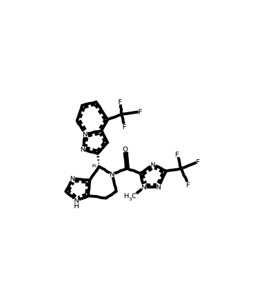 Cn1nc(C(F)(F)F)nc1C(=O)N1CCc2[nH]cnc2[C@@H]1c1cc2c(C(F)(F)F)cccn2n1